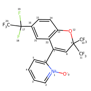 [O-][n+]1ccccc1C1=CC(C(F)(F)F)(C(F)(F)F)Oc2ccc(C(F)(F)C(F)(F)F)cc21